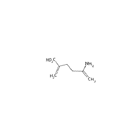 C=C(N)CCC(=C)C(=O)O